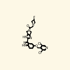 O=C(CN1CC(F)C1)N1Cc2nc(-c3n[nH]c4ccc(OCc5c(Cl)cncc5Cl)cc34)[nH]c2C1